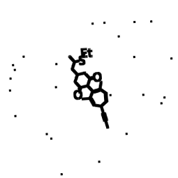 CC#CC1C=CC(C)=C(C2C(=O)CC(CC(C)SCC)CC2=O)C(C)=C1